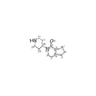 O=c1c2sccc2ccn1C1CCNCC1